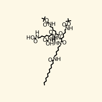 CCCCCCCCCCCC(=O)NCCCCCCNC(=O)C(CCCCNC(=O)OC(C)(C)C)NC(=O)C(CCCCNC(=O)OC(C)(C)C)NC(=O)C(CCCCNC(=O)O)NC(=O)O